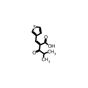 CC(C)C(=O)/C(=C/c1ccsc1)C(=O)O